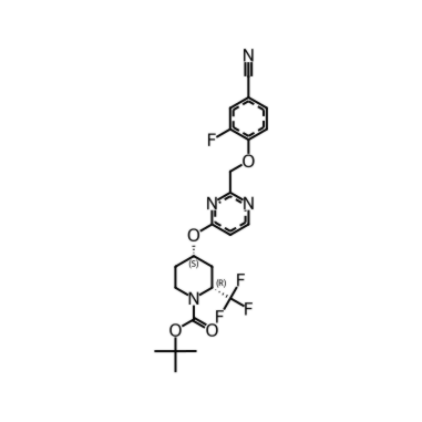 CC(C)(C)OC(=O)N1CC[C@H](Oc2ccnc(COc3ccc(C#N)cc3F)n2)C[C@@H]1C(F)(F)F